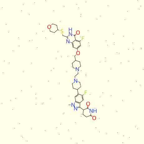 Cn1nc(C2CCC(=O)NC2=O)c2cc(F)c(C3CCN(CCN4CCC(COc5cc(F)c6c(=O)[nH]c(CSC7CCOCC7)nc6c5)CC4)CC3)cc21